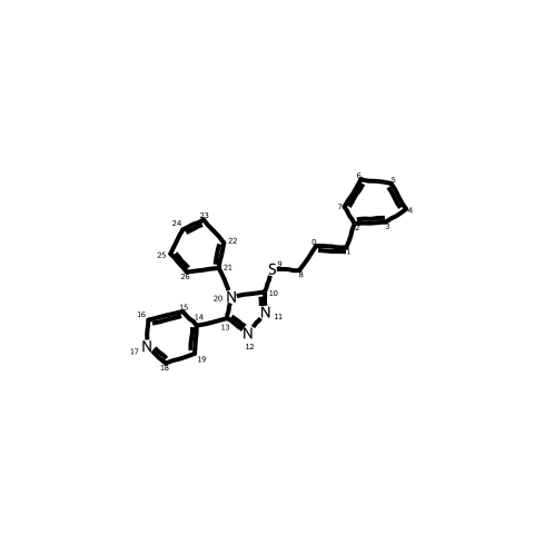 C(=Cc1ccccc1)CSc1nnc(-c2ccncc2)n1-c1ccccc1